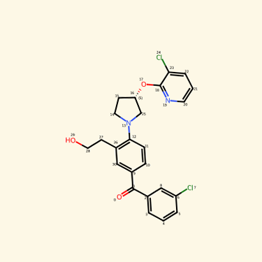 O=C(c1cccc(Cl)c1)c1ccc(N2CC[C@H](Oc3ncccc3Cl)C2)c(CCO)c1